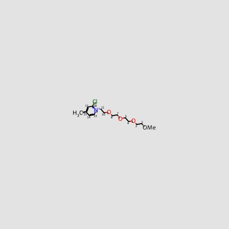 COCCOCCOCCOCC[n+]1ccc(C)cc1Cl